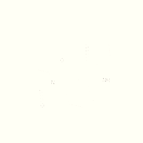 O=C1CCC(=O)N1C1CCCC2NC3CC=CC=C3C=C21